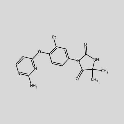 CCc1cc(N2C(=O)NC(C)(C)C2=O)ccc1Oc1ccnc(N)n1